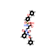 O=C(O)C(CCn1c(=O)c2ccccc2n(COCc2ccccc2)c1=O)NS(=O)(=O)c1ccc(Oc2ccccc2)cc1